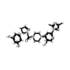 Cc1nc(C)n(-c2cc(N3CCN(C(=O)N4N=CC[C@H]4c4cc(F)cc(F)c4)CC3)c(F)cn2)n1